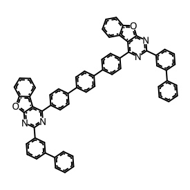 c1ccc(-c2cccc(-c3nc(-c4ccc(-c5ccc(-c6ccc(-c7nc(-c8cccc(-c9ccccc9)c8)nc8oc9ccccc9c78)cc6)cc5)cc4)c4c(n3)oc3ccccc34)c2)cc1